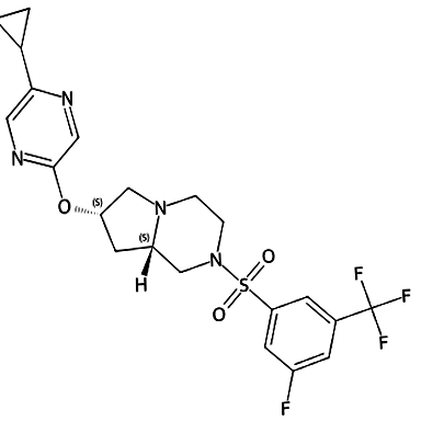 O=S(=O)(c1cc(F)cc(C(F)(F)F)c1)N1CCN2C[C@@H](Oc3cnc(C4CC4)cn3)C[C@H]2C1